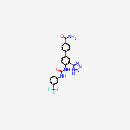 NC(=O)c1ccc(-c2ccc(NC(=O)Nc3cccc(C(F)(F)F)c3)c(-c3nnn[nH]3)c2)cc1